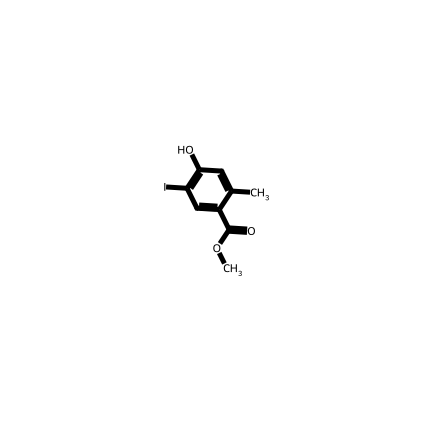 COC(=O)c1cc(I)c(O)cc1C